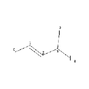 CC=CC(I)I